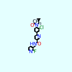 CC(=O)N(CC1CC1)c1ccc(-c2ccc(C(=O)NCc3cccnc3F)cn2)cc1Cl